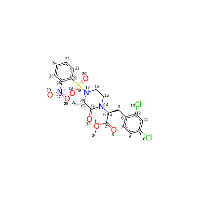 COC(=O)[C@H](Cc1ccc(Cl)cc1Cl)N1CCN(S(=O)(=O)c2ccccc2[N+](=O)[O-])[C@@H](C)C1=O